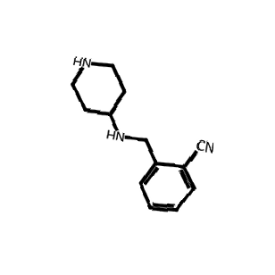 N#Cc1ccccc1CNC1CCNCC1